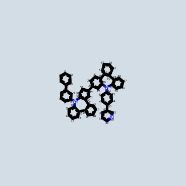 c1ccc(-c2cccc(N3c4ccccc4-c4ccccc4-c4cc(-c5ccc6c(c5)N(c5ccc(-c7cccnc7)cc5)c5ccccc5-c5ccccc5-6)ccc43)c2)cc1